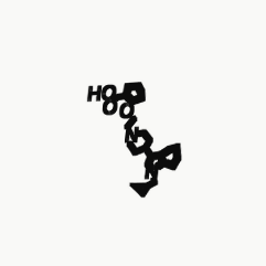 O=C(O)c1ccccc1OCCN1CCC(c2cn(CC3CC3)c3ccccc23)CC1